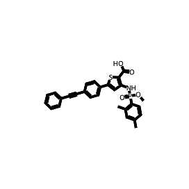 COP(=O)(Nc1cc(-c2ccc(C#Cc3ccccc3)cc2)sc1C(=O)O)c1ccc(C)cc1C